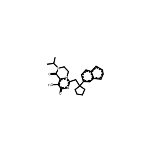 CC(C)N1CCn2c(CC3(c4ccc5ccccc5c4)CCCC3)nc(=O)c(O)c2C1=O